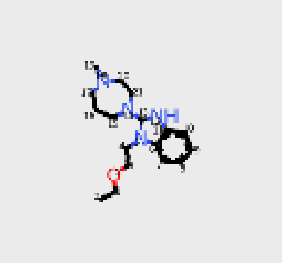 CCOCCN1c2ccccc2NC1N1CCCN(C)CC1